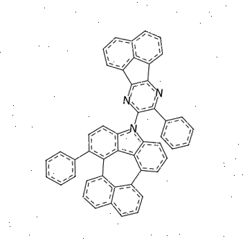 c1ccc(-c2ccc3c4c2-c2cccc5cccc(c25)-c2cccc(c24)n3-c2nc3c(nc2-c2ccccc2)-c2cccc4cccc-3c24)cc1